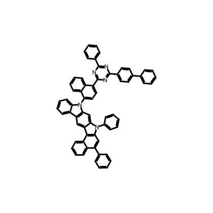 c1ccc(-c2ccc(-c3nc(-c4ccccc4)nc(-c4ccc(-n5c6ccccc6c6cc7c8c9ccccc9c(-c9ccccc9)cc8n(-c8ccccc8)c7cc65)c5ccccc45)n3)cc2)cc1